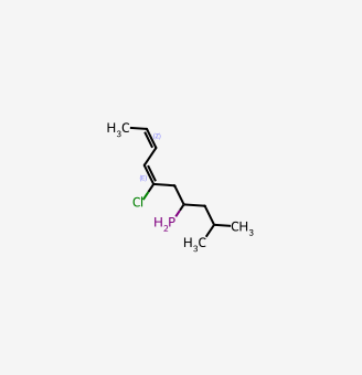 C/C=C\C=C(\Cl)CC(P)CC(C)C